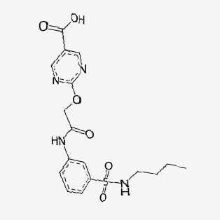 CCCCNS(=O)(=O)c1cccc(NC(=O)COc2ncc(C(=O)O)cn2)c1